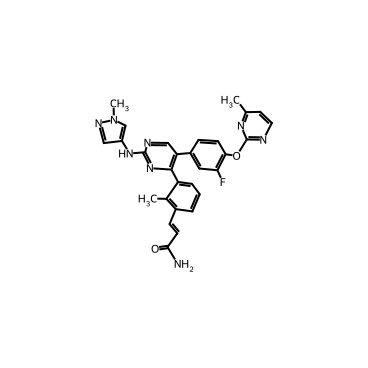 Cc1ccnc(Oc2ccc(-c3cnc(Nc4cnn(C)c4)nc3-c3cccc(C=CC(N)=O)c3C)cc2F)n1